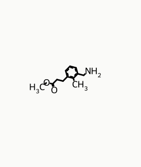 COC(=O)CCc1cccc(CN)c1C